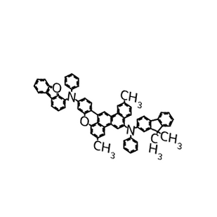 Cc1ccc2c(N(c3ccccc3)c3ccc4c(c3)C(C)(C)c3ccccc3-4)cc3c4cc(C)cc5c4c(cc3c2c1)-c1ccc(N(c2ccccc2)c2cccc3c2oc2ccccc23)cc1O5